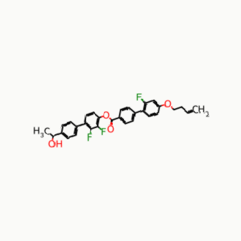 C=CCCOc1ccc(-c2ccc(C(=O)Oc3ccc(-c4ccc(C(C)O)cc4)c(F)c3F)cc2)c(F)c1